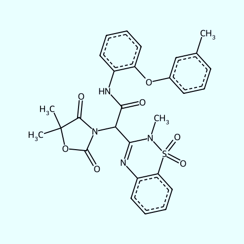 Cc1cccc(Oc2ccccc2NC(=O)C(C2=Nc3ccccc3S(=O)(=O)N2C)N2C(=O)OC(C)(C)C2=O)c1